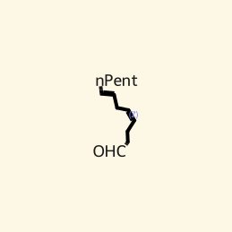 CCCCCC=CC/C=C\CCC=O